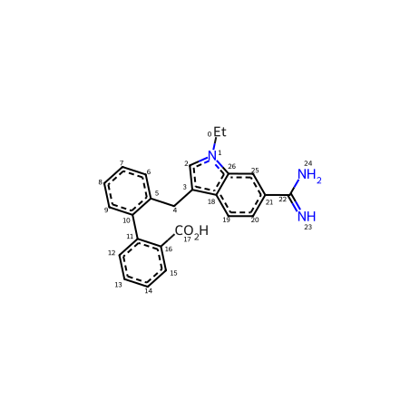 CCn1cc(Cc2ccccc2-c2ccccc2C(=O)O)c2ccc(C(=N)N)cc21